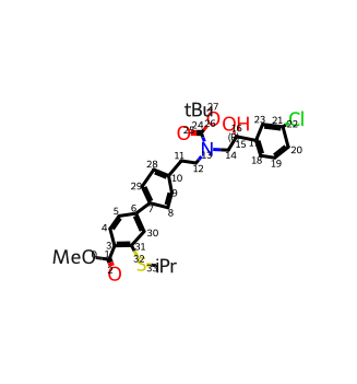 COC(=O)c1ccc(-c2ccc(CCN(C[C@H](O)c3cccc(Cl)c3)C(=O)OC(C)(C)C)cc2)cc1SC(C)C